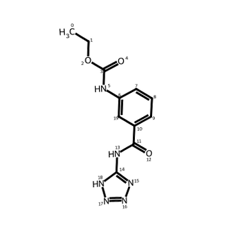 CCOC(=O)Nc1cccc(C(=O)Nc2nnn[nH]2)c1